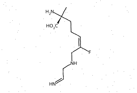 C[C@@](N)(CC/C=C(/F)CNCC=N)C(=O)O